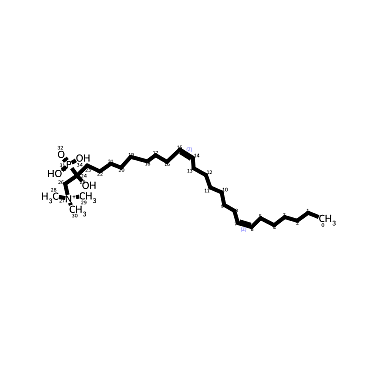 CCCCCC/C=C\CCCCCC/C=C\CCCCCCCCC(O)(C[N+](C)(C)C)P(=O)(O)O